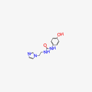 O=C(NCCn1ccnc1)Nc1ccc(O)cc1